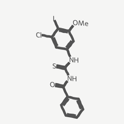 COc1cc(NC(=S)NC(=O)c2ccccc2)cc(Cl)c1I